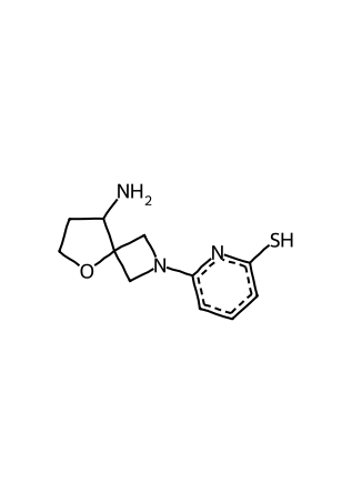 NC1CCOC12CN(c1cccc(S)n1)C2